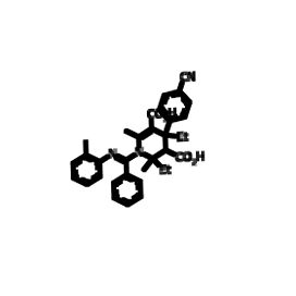 CCC1(c2ccc(C#N)cc2)C(C(=O)O)=C(C)N(C(=Nc2ccccc2C)c2ccccc2)C(C)(CC)C1C(=O)O